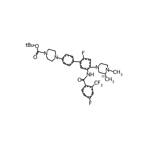 C[C@H]1CN(c2cc(F)c(-c3ccc(N4CCN(C(=O)OC(C)(C)C)CC4)cc3)cc2NC(=O)c2ccc(F)cc2C(F)(F)F)CCN1C